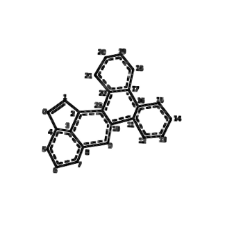 C1=Cc2c3c1cccc3cc1c3ccccc3c3ccccc3c21